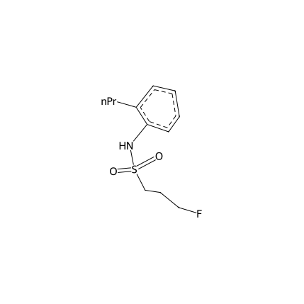 CCCc1ccccc1NS(=O)(=O)CCCF